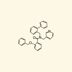 O=C(c1ccccc1OCc1ccccc1)N(Cc1cccnc1)Cc1ccccc1-c1ccccc1